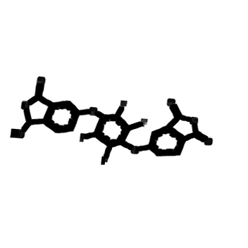 O=C1OC(=O)c2cc(Oc3c(F)c(F)c(Oc4ccc5c(c4)C(=O)OC5O)c(F)c3F)ccc21